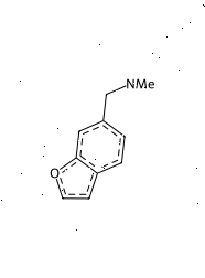 CNCc1ccc2ccoc2c1